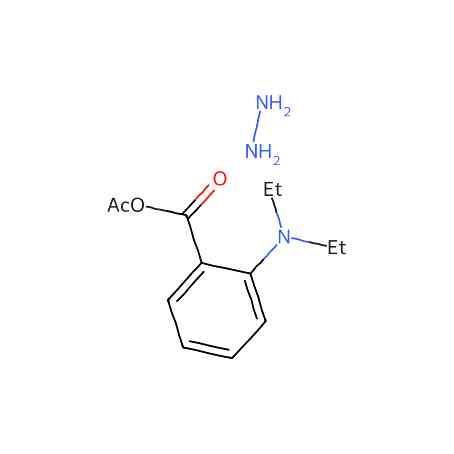 CCN(CC)c1ccccc1C(=O)OC(C)=O.NN